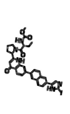 CC[C@H](NC(=O)OC)C(=O)N1CCCC1c1cc(=O)c2ccc(-c3ccc4cc(-c5cnc(I)[nH]5)ccc4c3)cc2[nH]1